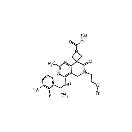 CCOCCN1Cc2c(N[C@H](C)c3cccc(C(F)(F)F)c3F)nc(C)nc2C2(CN(C(=O)OC(C)(C)C)C2)C1=O